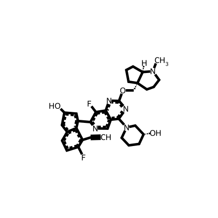 C#Cc1c(F)ccc2cc(O)cc(-c3ncc4c(N5CCC[C@@H](O)C5)nc(OC[C@]56CCC[C@H]5N(C)CCC6)nc4c3F)c12